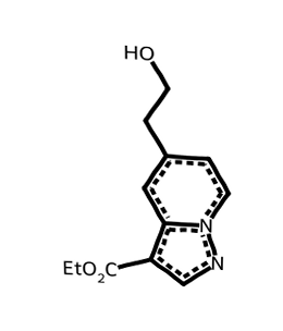 CCOC(=O)c1cnn2ccc(CCO)cc12